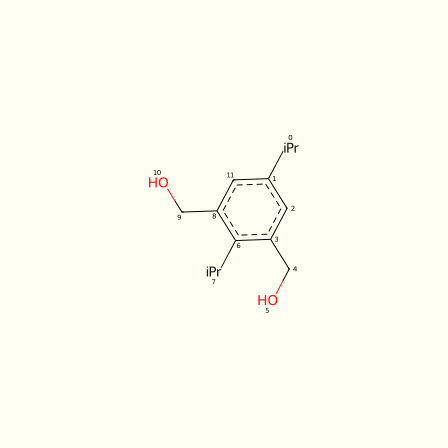 CC(C)c1cc(CO)c(C(C)C)c(CO)c1